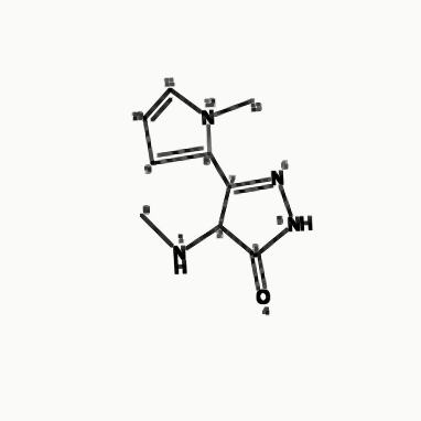 CNC1C(=O)NN=C1c1cccn1C